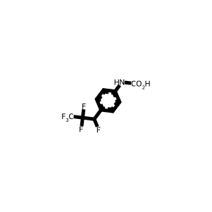 O=C(O)Nc1ccc(C(F)C(F)(F)C(F)(F)F)cc1